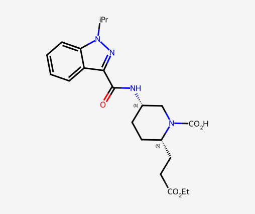 CCOC(=O)CC[C@@H]1CC[C@H](NC(=O)c2nn(C(C)C)c3ccccc23)CN1C(=O)O